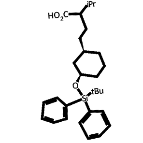 CC(C)C(CC[C@H]1CCC[C@@H](O[Si](c2ccccc2)(c2ccccc2)C(C)(C)C)C1)C(=O)O